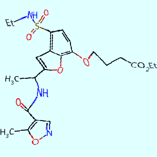 CCNS(=O)(=O)c1ccc(OCCCC(=O)OCC)c2oc(C(C)NC(=O)c3cnoc3C)cc12